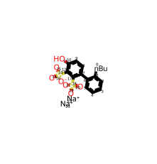 CCCCc1ccccc1-c1ccc(O)c(S(=O)(=O)[O-])c1S(=O)(=O)[O-].[Na+].[Na+]